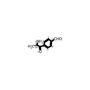 C[C@@H](N)C(=O)c1ccc(C=O)cc1